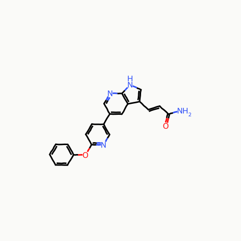 NC(=O)C=Cc1c[nH]c2ncc(-c3ccc(Oc4ccccc4)nc3)cc12